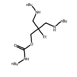 CCCCNCC(CC)(CNCCCC)COC(=O)NCCCC